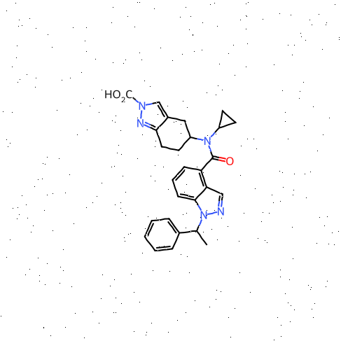 CC(c1ccccc1)n1ncc2c(C(=O)N(C3CC3)C3CCc4nn(C(=O)O)cc4C3)cccc21